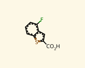 O=C(O)c1cc2c(F)cccc2s1